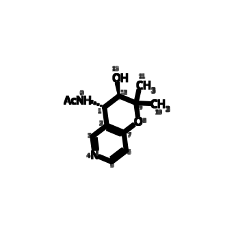 CC(=O)N[C@H]1c2cnccc2OC(C)(C)[C@@H]1O